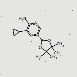 CC1(C)OB(c2cnc(N)c(C3CC3)c2)OC1(C)C